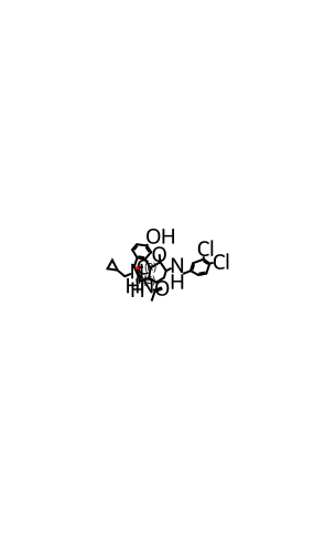 CC(=O)N[C@@]12CCC(NCc3ccc(Cl)c(Cl)c3)C3Oc4c(O)ccc5c4[C@@]31CCN(CC1CC1)[C@@H]2C5